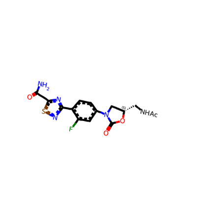 CC(=O)NC[C@H]1CN(c2ccc(-c3nsc(C(N)=O)n3)c(F)c2)C(=O)O1